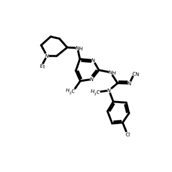 CCN1CCCC(Nc2cc(C)nc(N/C(=N\C#N)N(C)c3ccc(Cl)cc3)n2)C1